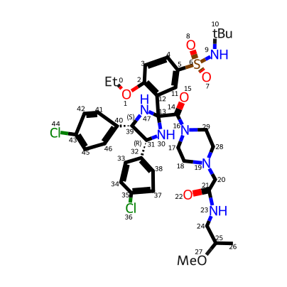 CCOc1ccc(S(=O)(=O)NC(C)(C)C)cc1C1(C(=O)N2CCN(CC(=O)NCC(C)OC)CC2)N[C@H](c2ccc(Cl)cc2)[C@H](c2ccc(Cl)cc2)N1